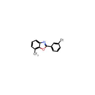 CCc1cccc(-c2nc3cccc(C(F)(F)F)c3o2)c1